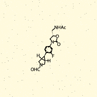 CC(=O)NC[C@H]1CN(c2ccc([C@H]3[C@@H]4CN(C=O)C[C@@H]43)c(F)c2)C(=O)O1